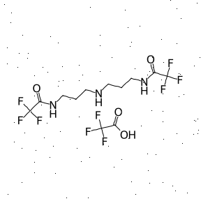 O=C(NCCCNCCCNC(=O)C(F)(F)F)C(F)(F)F.O=C(O)C(F)(F)F